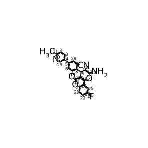 Cc1ccc(-c2ccc(C3C(C#N)=C(N)Oc4c3c(=O)oc3ccc(F)cc43)cc2)cn1